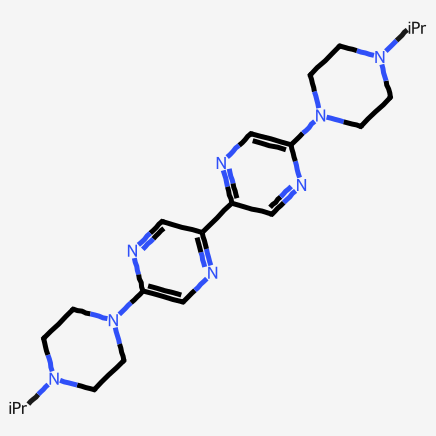 CC(C)N1CCN(c2cnc(-c3cnc(N4CCN(C(C)C)CC4)cn3)cn2)CC1